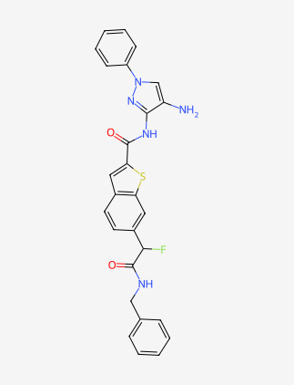 Nc1cn(-c2ccccc2)nc1NC(=O)c1cc2ccc(C(F)C(=O)NCc3ccccc3)cc2s1